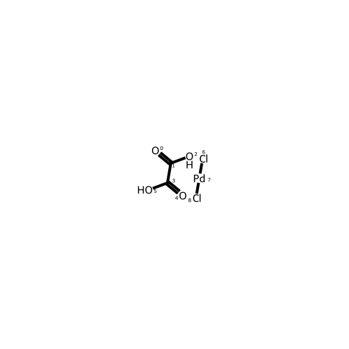 O=C(O)C(=O)O.[Cl][Pd][Cl]